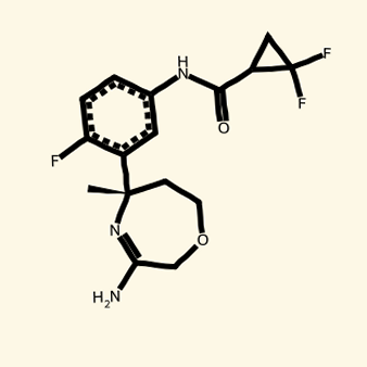 C[C@@]1(c2cc(NC(=O)C3CC3(F)F)ccc2F)CCOCC(N)=N1